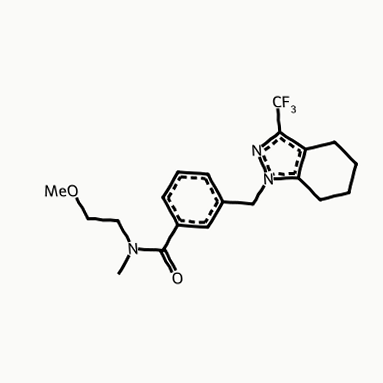 COCCN(C)C(=O)c1cccc(Cn2nc(C(F)(F)F)c3c2CCCC3)c1